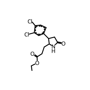 CCOC(=O)CCC1NC(=O)CC1c1ccc(Cl)c(Cl)c1